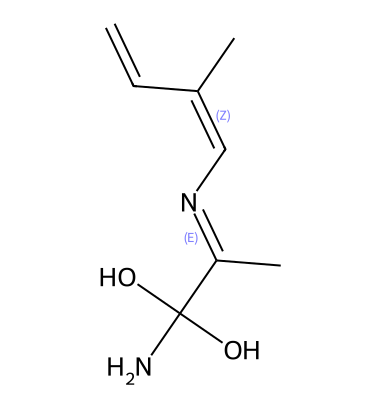 C=C/C(C)=C\N=C(/C)C(N)(O)O